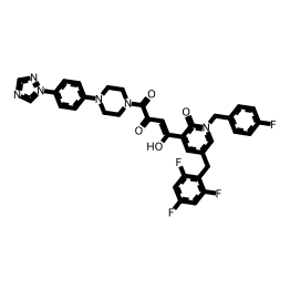 O=C(C=C(O)c1cc(Cc2c(F)cc(F)cc2F)cn(Cc2ccc(F)cc2)c1=O)C(=O)N1CCN(c2ccc(-n3cncn3)cc2)CC1